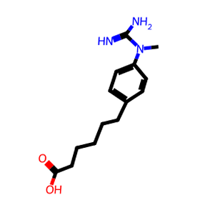 CN(C(=N)N)c1ccc(CCCCCC(=O)O)cc1